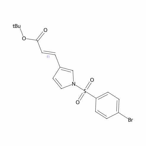 CC(C)(C)OC(=O)/C=C/c1ccn(S(=O)(=O)c2ccc(Br)cc2)c1